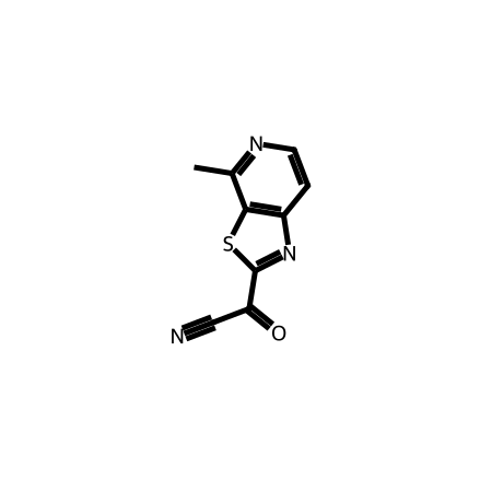 Cc1nccc2nc(C(=O)C#N)sc12